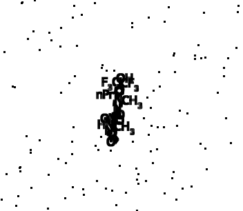 CCCc1cc(C(O)(C(F)(F)F)C(F)(F)F)ccc1N1CCN(C(=O)CN2C(=O)NC(C)(c3cc4ccoc4cn3)C2=O)CC1C